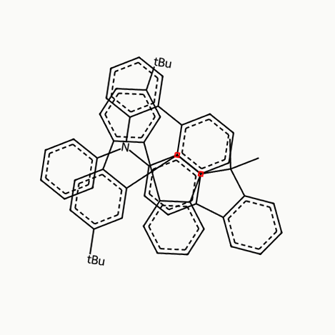 CC(C)(C)c1ccc2c(c1)C1(c3cc(C(C)(C)C)ccc3-2)c2ccccc2-c2cccc(-c3ccccc3N(c3ccccc3)c3ccc4c(c3)C(C)(C)c3ccccc3-4)c21